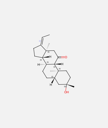 C/C=C1/CC[C@H]2[C@@H]3CC[C@H]4C[C@@](C)(O)CC[C@]4(C)[C@H]3C(=O)C[C@]12C